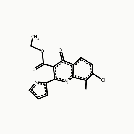 CCOC(=O)c1c(-c2ccc[nH]2)[nH]c2c(F)c(Cl)ccc2c1=O